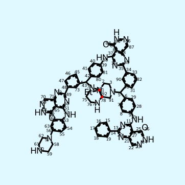 CCN1CCN(C(c2ccc(Nc3nc(-c4ccccc4)nc4cn[nH]c(=O)c34)cc2)c2cccc(-c3nc(Nc4ccc(C(c5cccc(-c6nc(Nc7ccc(N8CCNCC8)cc7)c7c(=O)[nH]ncc7n6)c5)N5CCNCC5)cc4)c4c(=O)[nH]ncc4n3)c2)CC1